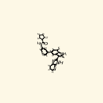 O=C(Nc1cncc(-c2cc(F)c3[nH]nc(-c4nc5cccnc5[nH]4)c3c2)c1)C1CCCC1